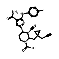 N#CCC1(CC2[C@H](C#N)[C@H](n3cc(C(N)=O)c(Nc4ccc(F)cc4)n3)CCN2C(=O)O)CC1